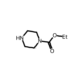 CCOC(=O)N1[CH]CNCC1